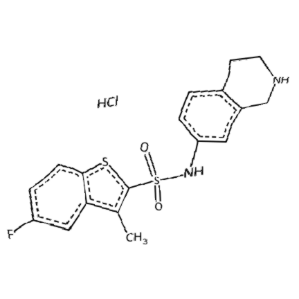 Cc1c(S(=O)(=O)Nc2ccc3c(c2)CNCC3)sc2ccc(F)cc12.Cl